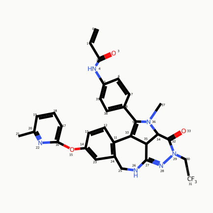 C=CC(=O)Nc1ccc(C2=C3c4ccc(Oc5cccc(C)n5)cc4CNC4=NN(CC(F)(F)F)C(=O)C(C43)N2C)cc1